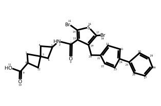 O=C(NC1CC2(C1)CC(C(=O)O)C2)c1c(Br)sc(Br)c1Cc1ccc(-c2ccccc2)cc1